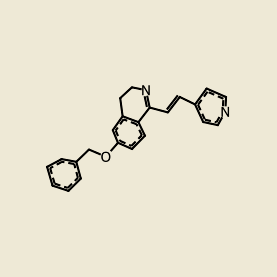 C(=Cc1ccncc1)C1=NCCc2cc(OCc3ccccc3)ccc21